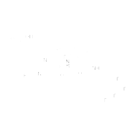 COc1cnc(-c2cc(C(=O)O)ccc2F)nc1C(=O)N[C@@H]1C2CCC(/C2=C/C(F)(F)F)[C@@H]1C(=O)Nc1ccc(F)c(C(F)(F)F)c1